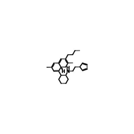 CCCCC1=C(C)C[C@H]2C(=C1)C=C(C)C=C2C1CCCCC1NCCC1C=CC=C1